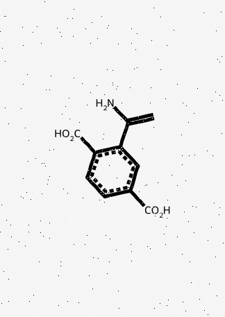 C=C(N)c1cc(C(=O)O)ccc1C(=O)O